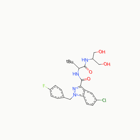 CC(C)(C)C(NC(=O)c1nn(Cc2ccc(F)cc2)c2ccc(Cl)cc12)C(=O)NC(CO)CO